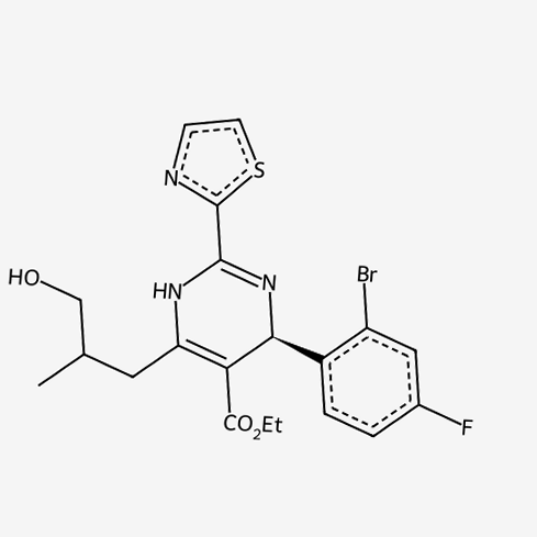 CCOC(=O)C1=C(CC(C)CO)NC(c2nccs2)=N[C@H]1c1ccc(F)cc1Br